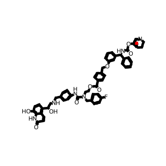 O=C(N[C@@H](c1ccccc1)c1cccc(OCc2ccc(C(=O)OCCN(Cc3ccc(F)cc3)C(=O)Nc3ccc(CNCC(O)c4ccc(O)c5[nH]c(=O)ccc45)cc3)cc2)c1)OC1CN2CCC1CC2